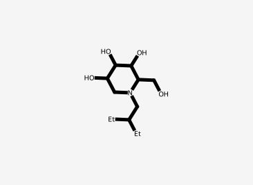 CCC(CC)CN1CC(O)C(O)C(O)C1CO